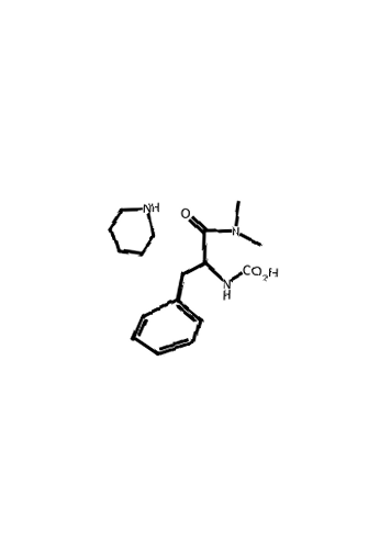 C1CCNCC1.CN(C)C(=O)C(Cc1ccccc1)NC(=O)O